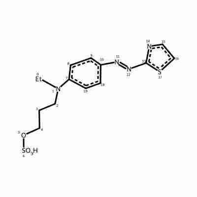 CCN(CCCOS(=O)(=O)O)c1ccc(/N=N/c2nccs2)cc1